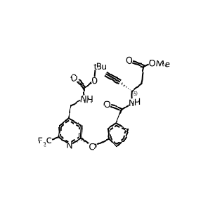 C#C[C@H](CC(=O)OC)NC(=O)c1cccc(Oc2cc(CNC(=O)OC(C)(C)C)cc(C(F)(F)F)n2)c1